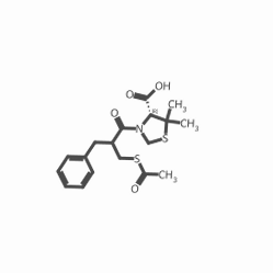 CC(=O)SCC(Cc1ccccc1)C(=O)N1CSC(C)(C)[C@H]1C(=O)O